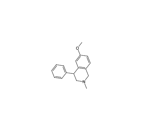 COc1ccc2c(c1)C(c1ccccc1)CN(C)C2